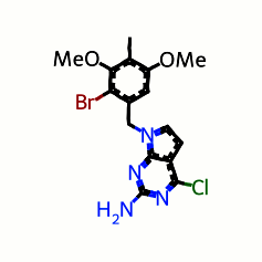 COc1cc(Cn2ccc3c(Cl)nc(N)nc32)c(Br)c(OC)c1C